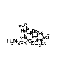 CCOC(=O)C1=C2C[C@@H](CN)CN2C(c2nccs2)=N[C@H]1c1ccc(F)cc1Br